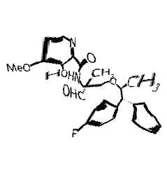 COc1ccnc(C(=O)N[C@](C)(C=O)CO[C@@H](C)[C@H](c2ccccc2)c2ccc(F)cc2)c1O